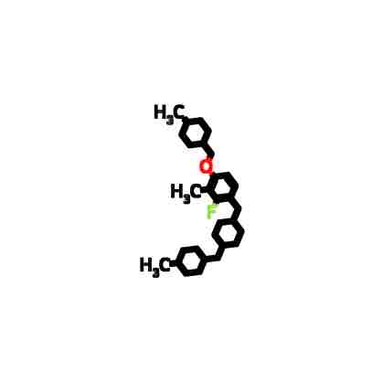 Cc1c(OCC2CCC(C)CC2)ccc(CC2CCC(CC3CCC(C)CC3)CC2)c1F